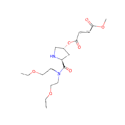 CCOCCN(CCOCC)C(=O)[C@@H]1C[C@@H](OC(=O)/C=C/C(=O)OC)CN1